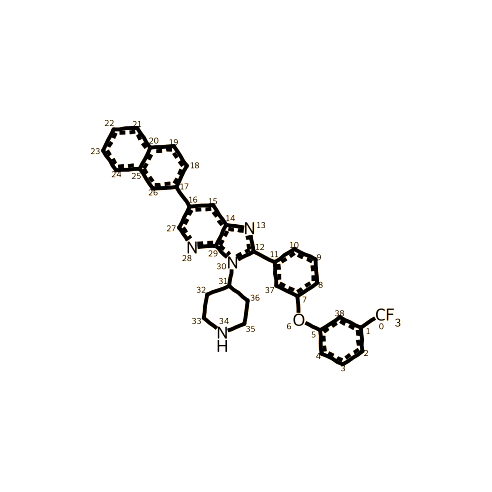 FC(F)(F)c1cccc(Oc2cccc(-c3nc4cc(-c5ccc6ccccc6c5)cnc4n3C3CCNCC3)c2)c1